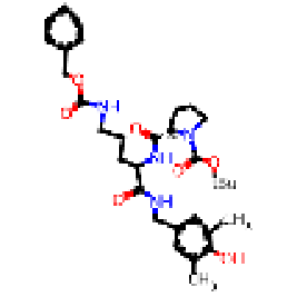 Cc1cc(CNC(=O)C(CCCNC(=O)OCc2ccccc2)NC(=O)[C@@H]2CCCN2C(=O)OC(C)(C)C)cc(C)c1O